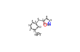 CC(C)c1cccc(Cc2ccno2)c1